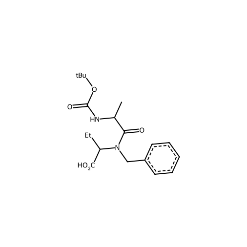 CCC(C(=O)O)N(Cc1ccccc1)C(=O)C(C)NC(=O)OC(C)(C)C